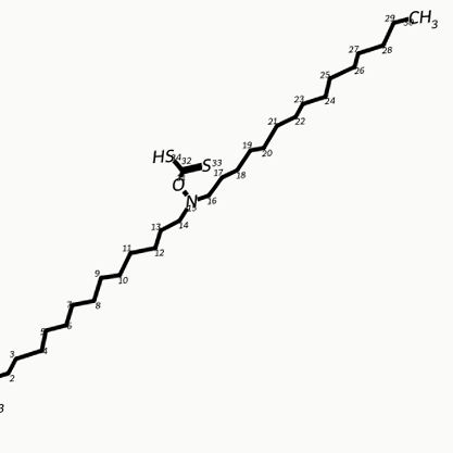 CCCCCCCCCCCCCCCN(CCCCCCCCCCCCCCC)OC(=S)S